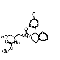 CC(C)(C)OC(=O)N[C@@H](CO)CNC(=O)N1CCc2ccccc2[C@@H]1c1ccc(F)cc1